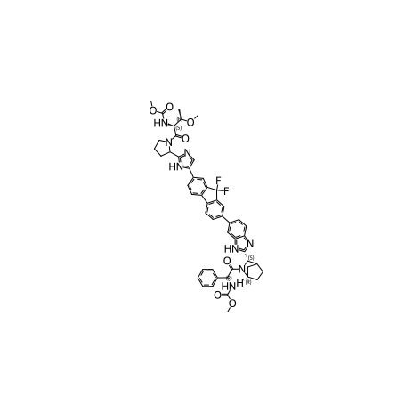 COC(=O)N[C@H](C(=O)N1CCCC1c1ncc(-c2ccc3c(c2)C(F)(F)c2cc(-c4ccc5nc([C@@H]6C7CC[C@H](C7)N6C(=O)[C@H](NC(=O)OC)c6ccccc6)[nH]c5c4)ccc2-3)[nH]1)[C@@H](C)OC